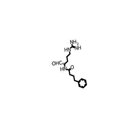 N=C(N)NCCC[C@@H]([C]=O)NC(=O)CCCc1ccccc1